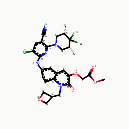 COC(=O)COc1cc2cc(Nc3nc(N4C[C@@H](C)C(F)(F)[C@@H](C)C4)c(C#N)cc3Cl)ccc2n(CC2COC2)c1=O